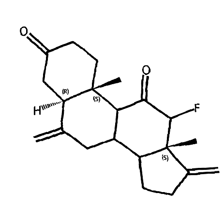 C=C1CC2C3CCC(=C)[C@@]3(C)C(F)C(=O)C2[C@@]2(C)CCC(=O)C[C@H]12